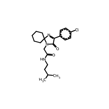 CC(C)CCNC(=O)CN1C(=O)C(c2ccc(Cl)cc2)=NC12CCCCC2